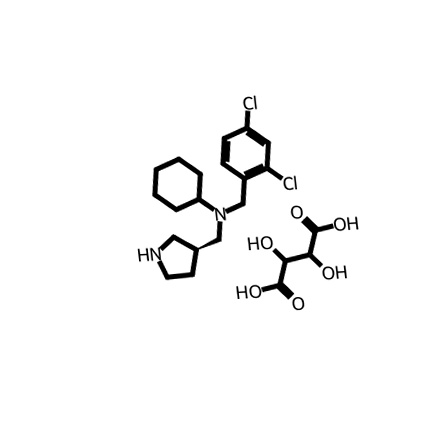 Clc1ccc(CN(C[C@H]2CCNC2)C2CCCCC2)c(Cl)c1.O=C(O)C(O)C(O)C(=O)O